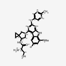 CNc1cc(F)cc2c1[nH]c1nc(Oc3cnc(C)nc3)nc(N3CC(NC(=O)[C@@H](N)CO)C4(CC4)C3)c12